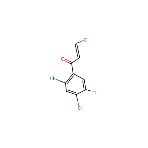 O=C(/C=C/Cl)c1cc(F)c(Cl)cc1Cl